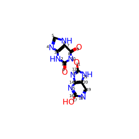 O=c1[nH]c2nc[nH]c2c(=O)n1Oc1nc2nc(O)ncc2[nH]1